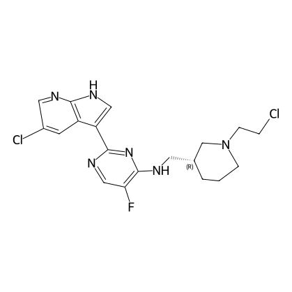 Fc1cnc(-c2c[nH]c3ncc(Cl)cc23)nc1NC[C@H]1CCCN(CCCl)C1